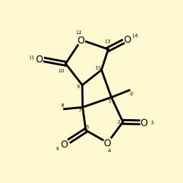 CC12C(=O)OC(=O)C1(C)C1C(=O)OC(=O)C12